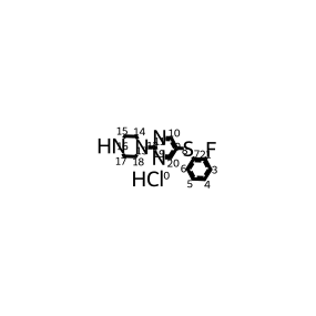 Cl.Fc1ccccc1Sc1cnc(N2CCNCC2)nc1